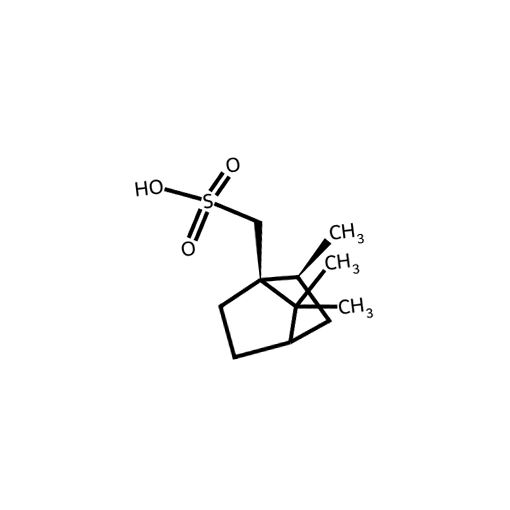 C[C@H]1CC2CC[C@@]1(CS(=O)(=O)O)C2(C)C